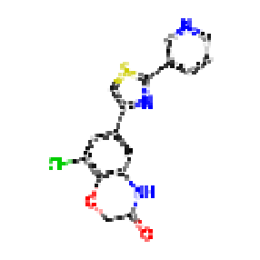 O=C1COc2c(Cl)cc(-c3csc(-c4cccnc4)n3)cc2N1